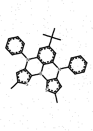 Cc1cc2c(s1)B1c3sc(C)cc3N(c3ccccc3)c3cc(C(C)(C)C)cc(c31)N2c1ccccc1